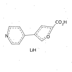 O=C(O)c1cc(-c2ccncc2)co1.[LiH]